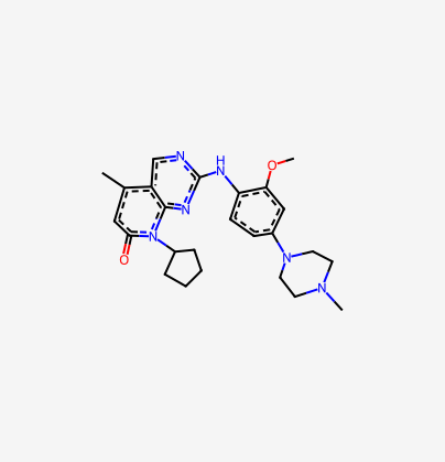 COc1cc(N2CCN(C)CC2)ccc1Nc1ncc2c(C)cc(=O)n(C3CCCC3)c2n1